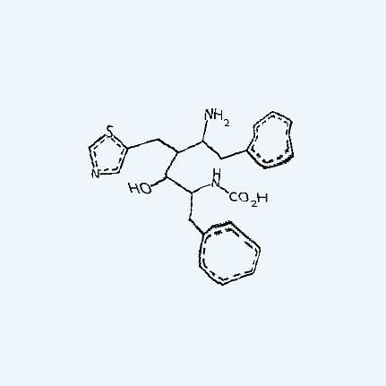 NC(Cc1ccccc1)C(Cc1cncs1)C(O)C(Cc1ccccc1)NC(=O)O